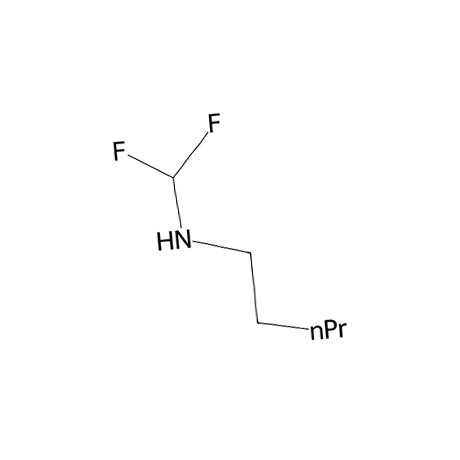 CCCCCNC(F)F